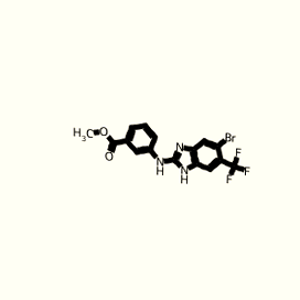 COC(=O)c1cccc(Nc2nc3cc(Br)c(C(F)(F)F)cc3[nH]2)c1